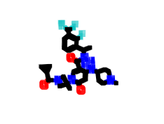 CC(NC(=O)c1cn(C2(C)CN(C(=O)C3CC3)C2)c(=O)cc1NC1CCN(C)CC1)c1cccc(C(F)F)c1F